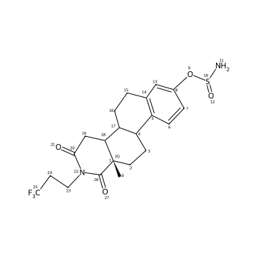 C[C@]12CCC3c4ccc(OS(N)=O)cc4CCC3C1CC(=O)N(CCC(F)(F)F)C2=O